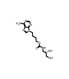 Nc1ncnc2c1ncn2CCCCOC(=O)NC[C@H](O)CO